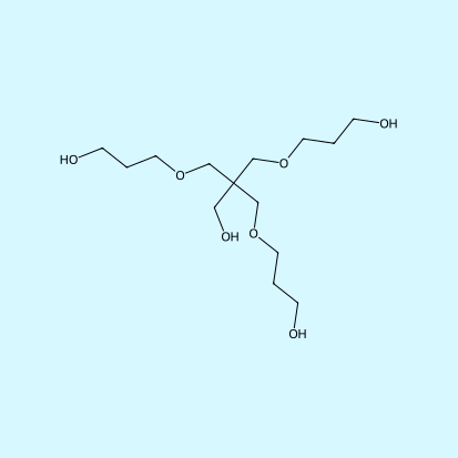 OCCCOCC(CO)(COCCCO)COCCCO